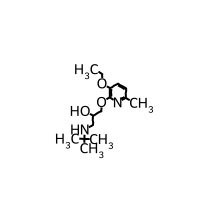 CCOc1ccc(C)nc1OCC(O)CNC(C)(C)C